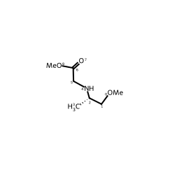 COC[C@H](C)NCC(=O)OC